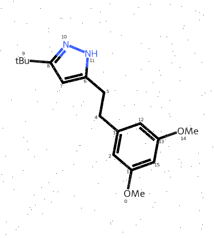 COc1cc(CCc2cc(C(C)(C)C)n[nH]2)cc(OC)c1